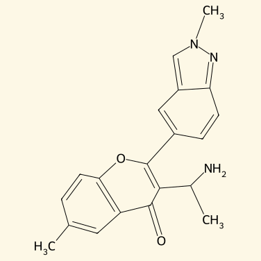 Cc1ccc2oc(-c3ccc4nn(C)cc4c3)c(C(C)N)c(=O)c2c1